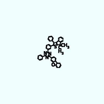 CC1(C)c2ccccc2-c2c1sc(-c1cccc(-c3nc(-c4ccccc4)nc(-c4ccc5c(c4)oc4ccccc45)n3)c1)c2-c1ccccc1